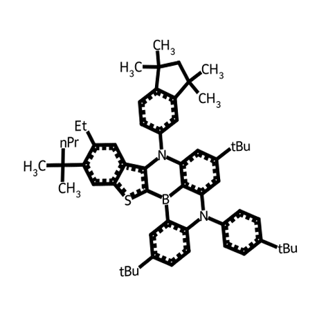 CCCC(C)(C)c1cc2sc3c(c2cc1CC)N(c1ccc2c(c1)C(C)(C)CC2(C)C)c1cc(C(C)(C)C)cc2c1B3c1cc(C(C)(C)C)ccc1N2c1ccc(C(C)(C)C)cc1